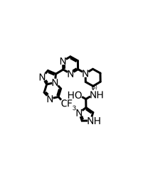 OC(N[C@H]1CCCN(c2ccnc(-c3cnc4cnc(C(F)(F)F)cn34)n2)C1)c1c[nH]cn1